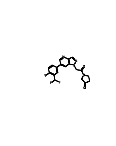 O=C1CCN(C(=O)Cn2ncc3ncc(-c4ccc(F)c(C(F)F)c4)cc32)C1